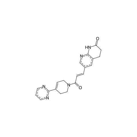 O=C1CCc2cc(/C=C/C(=O)N3CC=C(c4ncccn4)CC3)cnc2N1